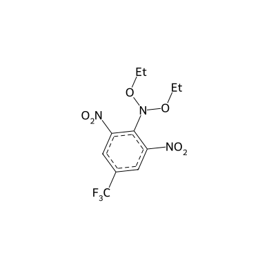 CCON(OCC)c1c([N+](=O)[O-])cc(C(F)(F)F)cc1[N+](=O)[O-]